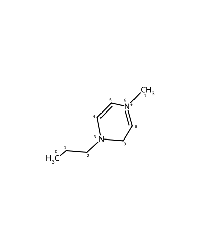 CCCN1C=C[N+](C)=CC1